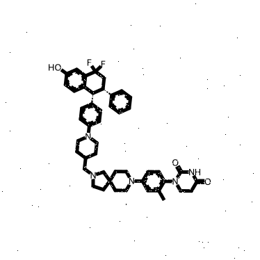 Cc1cc(N2CCC3(CCN(CC4CCN(c5ccc([C@@H]6c7ccc(O)cc7C(F)(F)C[C@@H]6c6ccccc6)cc5)CC4)C3)CC2)ccc1N1CCC(=O)NC1=O